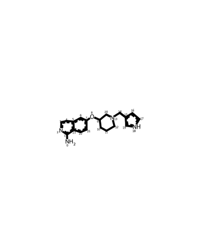 Nc1nccc2cc(OC3CCCN(Cc4cc[nH]c4)C3)ccc12